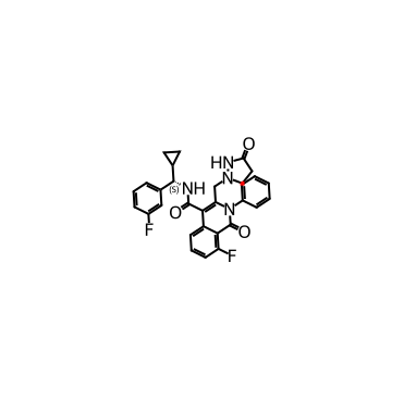 O=C1CCN(Cc2c(C(=O)N[C@H](c3cccc(F)c3)C3CC3)c3cccc(F)c3c(=O)n2-c2ccccc2)N1